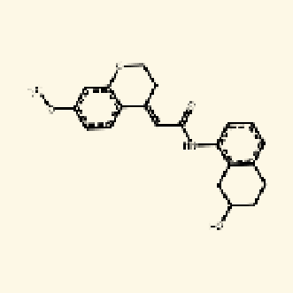 O=C(/C=C1\CCOc2cc(OC(F)(F)F)ccc21)Nc1cccc2c1CC(O)CC2